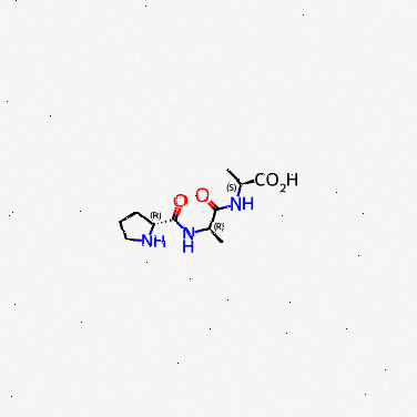 C[C@H](NC(=O)[C@@H](C)NC(=O)[C@H]1CCCN1)C(=O)O